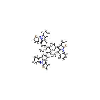 N#Cc1c(-c2cc3c4ccccc4n4c5sccc5c(c2)c34)c(C#N)c(-c2cc3c4ccccc4n4c5sccc5c(c2)c34)c(C#N)c1-c1cc2c3ccccc3n3c4sccc4c(c1)c23